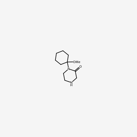 COC1(N2CCNCC2=O)CCCCC1